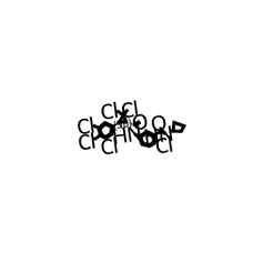 O=C(NC1CCC1)c1cc(NC(=O)[C@@H]2[C@@H](c3cc(Cl)c(Cl)c(Cl)c3)C2(Cl)Cl)ccc1Cl